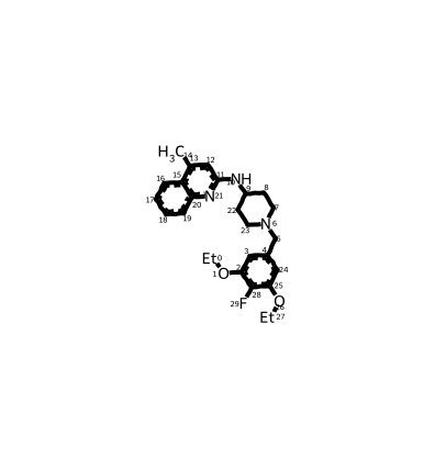 CCOc1cc(CN2CCC(Nc3cc(C)c4ccccc4n3)CC2)cc(OCC)c1F